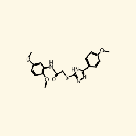 COc1ccc(-c2nnc(SCC(=O)Nc3cc(OC)ccc3OC)[nH]2)cc1